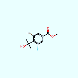 COC(=O)c1cc(F)c(C(C)(C)O)c(Br)c1